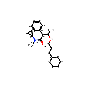 CC(OCCCC1CCCCC1)C(C(=O)N(C)C1CC1)c1ccccc1